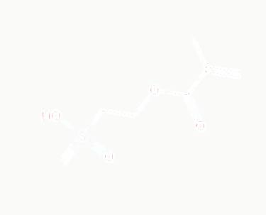 C=C(C)C(=O)OCCS(=C)(=O)O